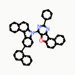 c1ccc(-c2nc(-n3c4ccc(-c5cccc6ccccc56)cc4c4c5ccccc5ccc43)c3oc4ccc5ccccc5c4c3n2)cc1